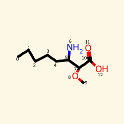 CCCCCC(N)C(OC)C(=O)O